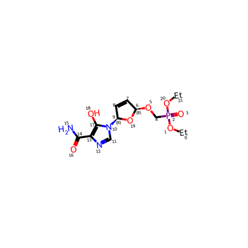 CCOP(=O)(CO[C@@H]1C=C[C@H](n2cnc(C(N)=O)c2O)O1)OCC